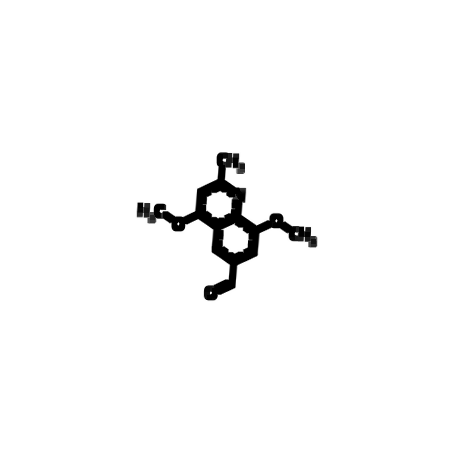 COc1cc(C)nc2c(OC)cc(C=O)cc12